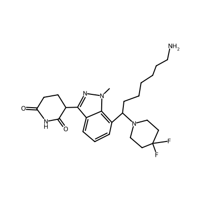 Cn1nc(C2CCC(=O)NC2=O)c2cccc(C(CCCCCCN)N3CCC(F)(F)CC3)c21